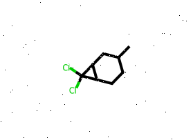 CC1[CH]CC2C(C1)C2(Cl)Cl